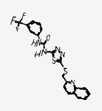 O=C(Nc1cccc(C(F)(F)F)c1)Nc1nnc(SCc2ccc3ccccc3n2)s1